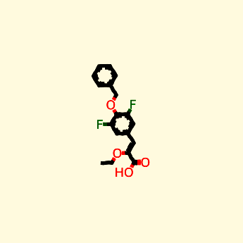 CCOC(=Cc1cc(F)c(OCc2ccccc2)c(F)c1)C(=O)O